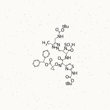 Cc1nn(C[C@@H]2[C@H](NC(=O)/C(=N\OC3(C(=O)OC(c4ccccc4)c4ccccc4)CC3)c3csc(NC(=O)OC(C)(C)C)n3)C(=O)N2S(=O)(=O)O)nc1CNC(=O)OC(C)(C)C